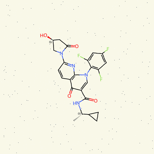 C[C@H](NC(=O)c1cn(-c2c(F)cc(F)cc2F)c2nc(N3C[C@@H](O)CC3=O)ccc2c1=O)C1CC1